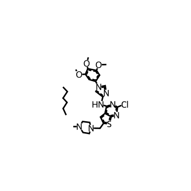 CCCCCC.COc1cc(-n2cnc(Nc3nc(Cl)nc4sc(CN5CCN(C)CC5)cc34)c2)cc(OC)c1OC